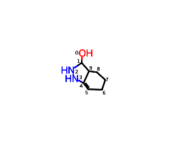 OC1NNC2=CCCCC21